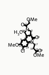 COCC(=O)N1Cc2c(c3cc(OC)c(Cl)cc3n(CCC(=O)OC)c2=O)[C@@H]1C